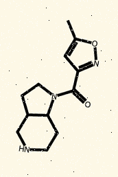 Cc1cc(C(=O)N2CCC3CNCCC32)no1